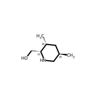 C[C@H]1CN[C@H](CO)[C@H](C)C1